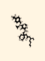 CCCCC(CC)CC(=O)CC1(CNc2ncnc(N(Cc3ccc(C(F)(F)F)cc3)C3CC3)c2F)CCOCC1